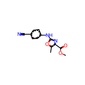 COC(=O)c1nc(Nc2ccc(C#N)cc2)oc1C